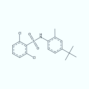 Cc1cc(C(C)(C)C)ccc1NS(=O)(=O)c1c(Cl)cccc1Cl